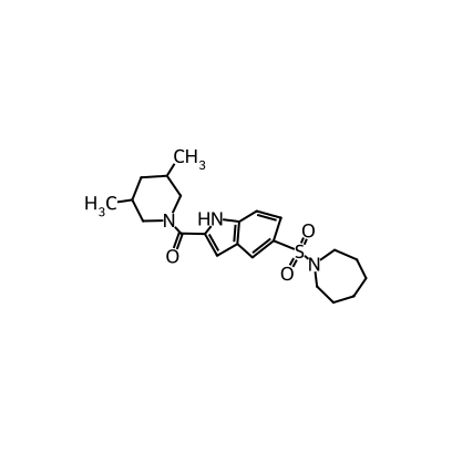 CC1CC(C)CN(C(=O)c2cc3cc(S(=O)(=O)N4CCCCCC4)ccc3[nH]2)C1